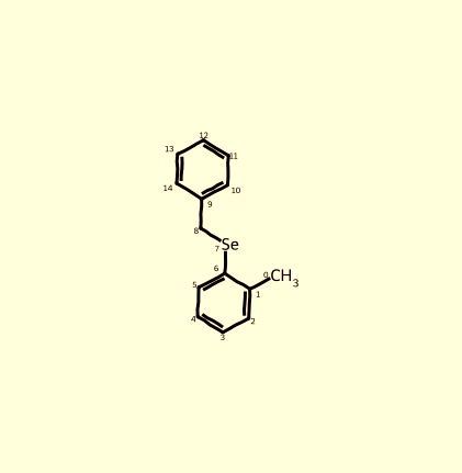 Cc1ccccc1[Se]Cc1ccccc1